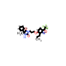 CCCc1c(OCCCN2C(=O)NC(C)(c3ccccc3)C2=O)ccc2c(C(F)(F)F)onc12